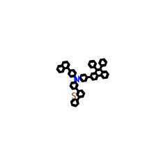 c1ccc(-c2c(-c3ccccc3)c3cc(-c4ccc(N(c5ccc(-c6cccc7ccccc67)cc5)c5cccc(-c6cccc7c6sc6ccccc67)c5)cc4)ccc3c3ccccc23)cc1